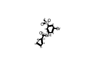 CS(=O)(=O)c1cc(Br)cc(NC(=O)c2cccs2)c1